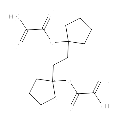 C=C(C)C(=O)OC1(CCC2(OC(=O)C(=C)C)CCCC2)CCCC1